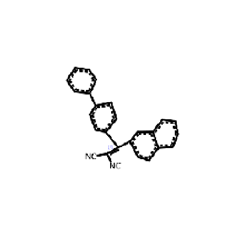 [C-]#[N+]/C(C#N)=C(/c1ccc(-c2ccccc2)cc1)c1ccc2ccccc2c1